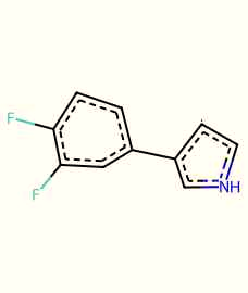 Fc1ccc(-c2[c]c[nH]c2)cc1F